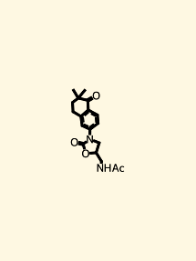 CC(=O)NCC1CN(c2ccc3c(c2)CCC(C)(C)C3=O)C(=O)O1